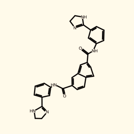 O=C(Nc1cccc(C2=NCCN2)c1)c1ccc2ccc(C(=O)Nc3cccc(C4=NCCN4)c3)cc2c1